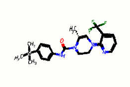 C[C@@H]1CN(c2ncccc2C(F)(F)F)CCN1C(=O)Nc1ccc([Si](C)(C)C)cc1